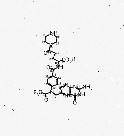 Nc1nc2ncc(CN(C(=O)C(F)(F)F)c3ccc(C(=O)NC(CCC(=O)N4CCNCC4)C(=O)O)cc3)nc2c(=O)[nH]1